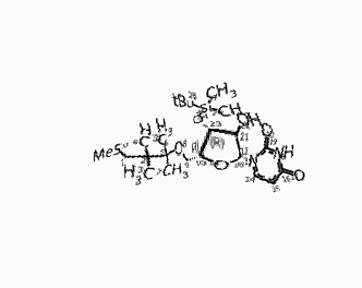 CSCC(C)(C)C(C)(C)OC[C@H]1O[C@@H](n2ccc(=O)[nH]c2=O)C(O)[C@H]1O[Si](C)(C)C(C)(C)C